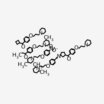 CC1CCCC(C)N1CCCOc1ccc(C#N)cc1.CC1CCN(CCCOc2ccc([N+](=O)[O-])cc2)CC1.CCC(=O)c1ccc(OCCCN2CCCC(C)C2)cc1.O=C(c1ccc(OCCCN2CCCCC2)cc1)C1CCC1.O=C(c1ccc(OCCCN2CCCCC2)cc1)C1CCCC1